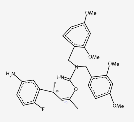 COc1ccc(CN(Cc2ccc(OC)cc2OC)C(=N)O/C(C)=C\[C@@H](C)c2cc(N)ccc2F)c(OC)c1